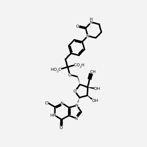 C#C[C@@]1(O)[C@@H](COC(Cc2ccc(N3CCCNC3=O)cc2)(C(=O)O)C(=O)O)O[C@@H](n2cnc3c(=O)[nH]c(Cl)nc32)[C@@H]1O